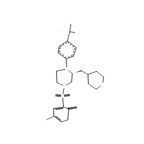 C[C@](O)(c1ccc(N2CCN(S(=O)(=O)C3=CC(N)=CCC3=S)C[C@@H]2CC2CCOCC2)cc1)C(F)(F)F